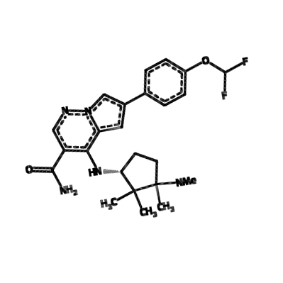 CNC1(C)CC[C@@H](Nc2c(C(N)=O)cnn3cc(-c4ccc(OC(F)F)cc4)cc23)C1(C)C